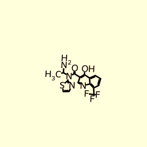 CC(N)N(C(=O)c1cnc2c(C(F)(F)F)cccc2c1O)c1nccs1